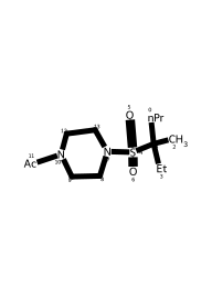 CCCC(C)(CC)S(=O)(=O)N1CCN(C(C)=O)CC1